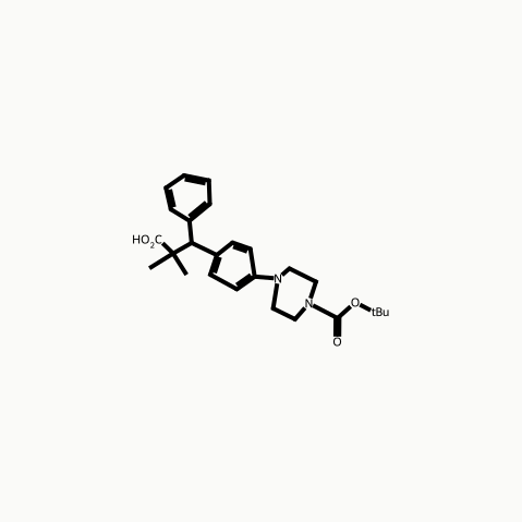 CC(C)(C)OC(=O)N1CCN(c2ccc(C(c3ccccc3)C(C)(C)C(=O)O)cc2)CC1